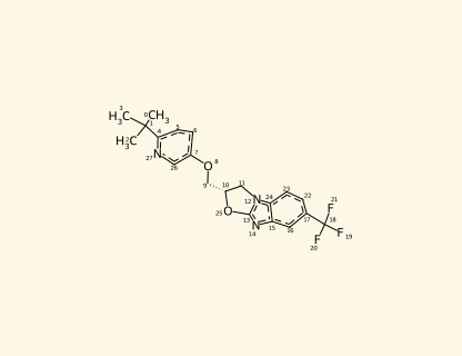 CC(C)(C)c1ccc(OC[C@@H]2Cn3c(nc4cc(C(F)(F)F)ccc43)O2)cn1